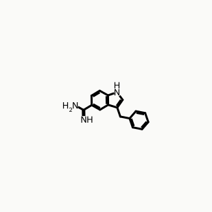 N=C(N)c1ccc2[nH]cc(Cc3ccccc3)c2c1